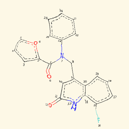 O=C(c1ccco1)N(Cc1cc(=O)[nH]c2c(F)cccc12)c1ccccc1